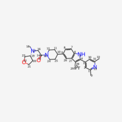 Cc1cc(-c2[nH]c3ccc(C4CCN(C(=O)CN(C)[C@@H]5CCOC5)CC4)cc3c2C(C)C)cc(C)n1